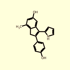 Cc1cc(O)cc2c1CC(c1ccc(O)cc1)=C2c1ccc[nH]1